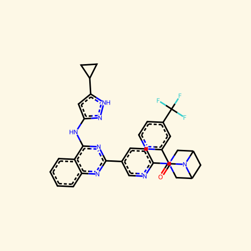 O=C(c1cc(C(F)(F)F)ccn1)N1C2CC1CN(c1ccc(-c3nc(Nc4cc(C5CC5)[nH]n4)c4ccccc4n3)cn1)C2